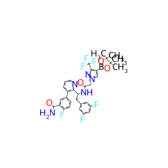 CC1(C)OB(c2cn(CC(=O)N[C@@H](Cc3cc(F)cc(F)c3)c3ncccc3-c3ccc(F)c(C(N)=O)c3)nc2C(F)(F)F)OC1(C)C